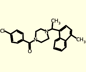 Cc1ccc(C(C)N2CCN(C(=O)c3ccc(Cl)cc3)CC2)c2ccccc12